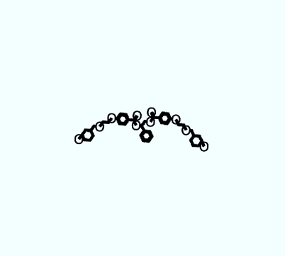 O=C(OCC(OC(=O)c1ccc(OCCOCC2CCC3OC3C2)cc1)c1ccccc1)c1ccc(OCCOCC2CCC3OC3C2)cc1